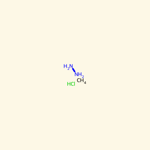 C.Cl.NN